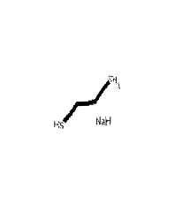 CCCS.[NaH]